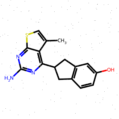 Cc1csc2nc(N)nc(C3Cc4ccc(O)cc4C3)c12